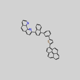 c1cc(-c2ccc(-c3ccc4ccc5cccc6ccc3c4c56)s2)cc(-c2ccc(-c3ccc4ccc5cccnc5c4n3)c3ccccc23)c1